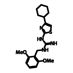 COc1cccc(OC)c1CNC(=N)Nc1nc(C2CCCCC2)cs1